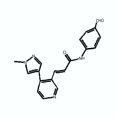 Cn1cc(-c2ccncc2C=CC(=O)Nc2ccc(C=O)cc2)cn1